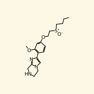 CCCC[S+]([O-])CCOc1ccc(-c2cn3c(n2)CNCC3)c(OC)c1